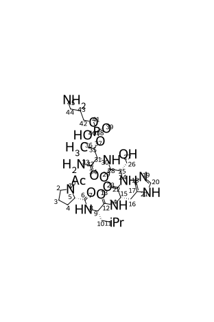 CC(=O)N1CCC[C@H]1C(=O)N[C@@H](CC(C)C)C(=O)N[C@@H](Cc1cnc[nH]1)C(=O)N[C@@H](CO)C(=O)N[C@H](C(N)=O)[C@@H](C)OP(=O)(O)OCCCN